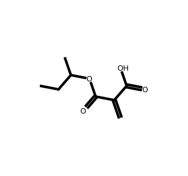 C=C(C(=O)O)C(=O)OC(C)CC